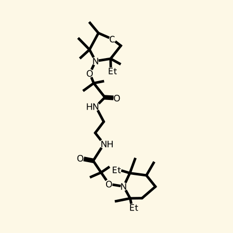 CCC1(C)CCC(C)C(C)(C)N1OC(C)(C)C(=O)NCCNC(=O)C(C)(C)ON1C(C)(CC)CCC(C)C1(C)CC